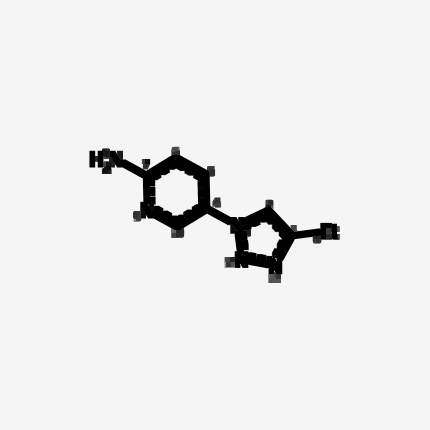 CCc1cn(-c2ccc(N)nc2)nn1